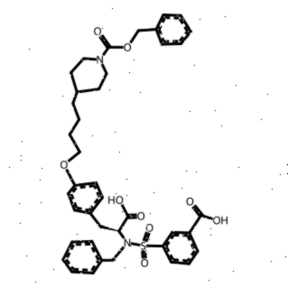 O=C(O)c1cccc(S(=O)(=O)N(Cc2ccccc2)[C@@H](Cc2ccc(OCCCCC3CCN(C(=O)OCc4ccccc4)CC3)cc2)C(=O)O)c1